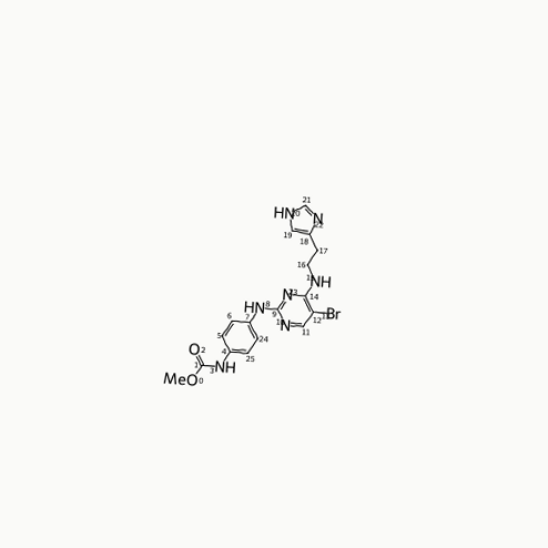 COC(=O)Nc1ccc(Nc2ncc(Br)c(NCCc3c[nH]cn3)n2)cc1